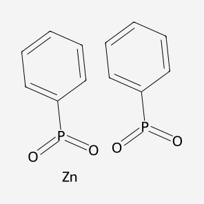 O=P(=O)c1ccccc1.O=P(=O)c1ccccc1.[Zn]